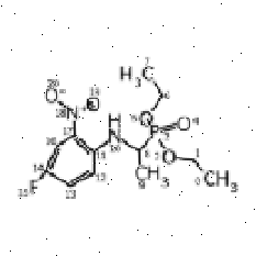 CCOP(=O)(OCC)C(C)Nc1ccc(F)cc1[N+](=O)[O-]